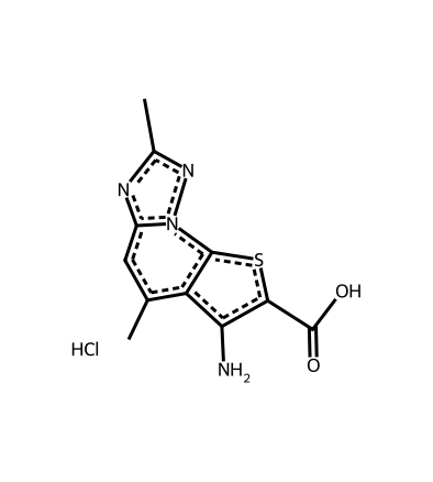 Cc1nc2cc(C)c3c(N)c(C(=O)O)sc3n2n1.Cl